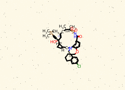 C[C@@H]1[C@@H](C)C/C=C/[C@@](O)(C#CS(C)(C)C)[C@@H]2CC[C@H]2CN2C[C@@]3(CCCc4cc(Cl)ccc43)COc3ccc(cc32)C(=O)NS1(=O)=O